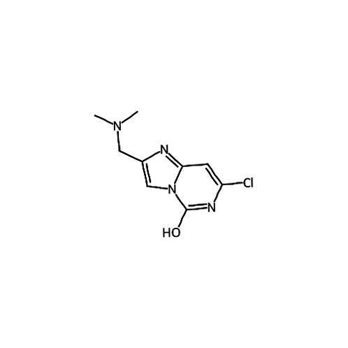 CN(C)Cc1cn2c(O)nc(Cl)cc2n1